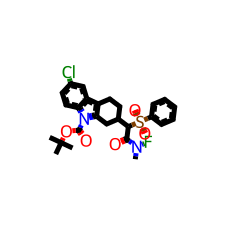 CN(F)C(=O)C(C1CCc2c(n(C(=O)OC(C)(C)C)c3ccc(Cl)cc23)C1)S(=O)(=O)c1ccccc1